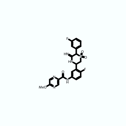 COc1cnc(C(=O)Nc2ccc(F)c(C3CS(=O)(=O)C(c4cccc(F)c4)C(=N)N3)c2)cn1